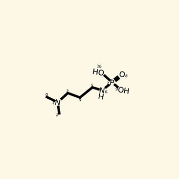 CN(C)CCCNP(=O)(O)O